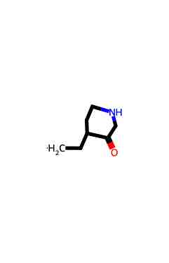 [CH2]CC1CCNCC1=O